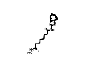 O=C(CCCCCCC(=O)Nc1nc2ccccc2s1)NO